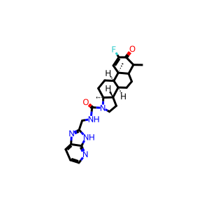 CC1C(=O)C(F)=C[C@@]2(C)C1CC[C@@H]1[C@H]2CC[C@@]2(C)[C@H]1CCN2C(=O)NCc1nc2cccnc2[nH]1